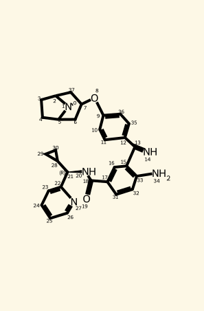 CN1C2CCC1CC(Oc1ccc(C(=N)c3cc(C(=O)N[C@@H](c4ccccn4)C4CC4)ccc3N)cc1)C2